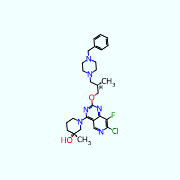 C[C@@H](COc1nc(N2CCC[C@@](C)(O)C2)c2cnc(Cl)c(F)c2n1)CN1CCN(Cc2ccccc2)CC1